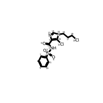 O=C(NS(=O)(=O)c1ccccc1)c1ncn(CCCCl)c1Cl